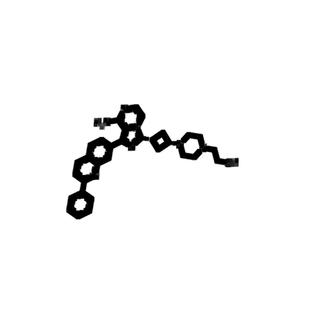 Nc1nccn2c1c(-c1ccc3ccc(-c4ccccc4)nc3c1)nc2[C@H]1C[C@@H](N2CCN(CCO)CC2)C1